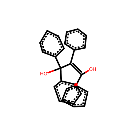 OC(=C(c1ccccc1)C(O)(c1ccccc1)c1ccccc1)c1ccccc1